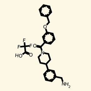 NCc1cccc(C2CCN(C(=O)c3cccc(OCc4ccccc4)c3)CC2)c1.O=C(O)C(F)(F)F